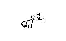 CCNCC(=O)OCc1ccccc1.Cl